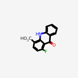 O=C(O)c1ccc(F)c2c(=O)c3ccccc3[nH]c12